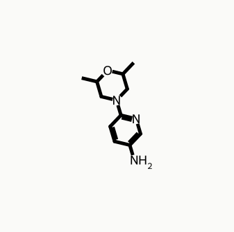 CC1CN(c2ccc(N)cn2)CC(C)O1